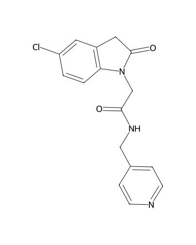 O=C(CN1C(=O)Cc2cc(Cl)ccc21)NCc1ccncc1